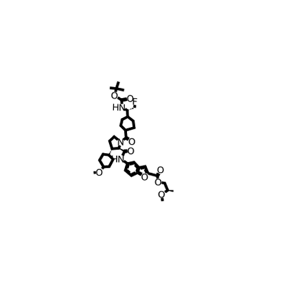 COC1CCC([C@@H]2CCN(C(=O)C3CCC([C@@H](CF)NC(=O)OC(C)(C)C)CC3)[C@H]2C(=O)Nc2ccc3oc(C(=O)OC[C@@H](C)OC)cc3c2)CC1